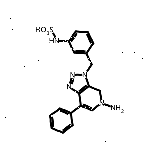 NN1C=C(c2ccccc2)c2nnn(Cc3cccc(NS(=O)(=O)O)c3)c2C1